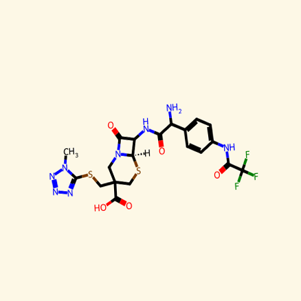 Cn1nnnc1SCC1(C(=O)O)CS[C@@H]2C(NC(=O)C(N)c3ccc(NC(=O)C(F)(F)F)cc3)C(=O)N2C1